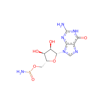 Nc1nc2c(ncn2[C@@H]2O[C@H](COS(N)=O)[C@@H](O)[C@H]2O)c(=O)[nH]1